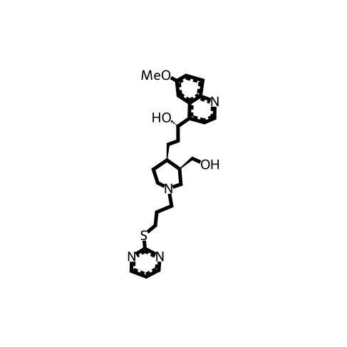 COc1ccc2nccc([C@@H](O)CC[C@@H]3CCN(CCCSc4ncccn4)C[C@@H]3CO)c2c1